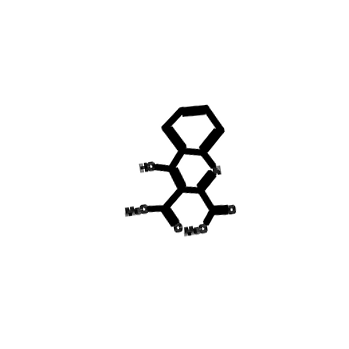 COC(=O)c1nc2ccccc2c(O)c1C(=O)OC